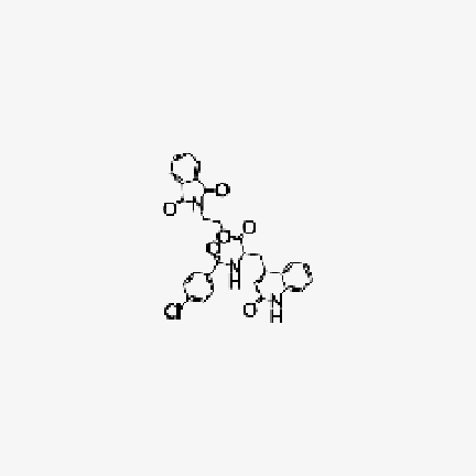 O=C(NC(Cc1cc(=O)[nH]c2ccccc12)C(=O)OCCN1C(=O)c2ccccc2C1=O)c1ccc(Cl)cc1